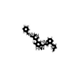 Cc1ccc(-c2cccc3[nH]c(-c4n[nH]c5cc(C)c(-c6cncc(CNCc7ccccc7)c6)cc45)cc23)s1